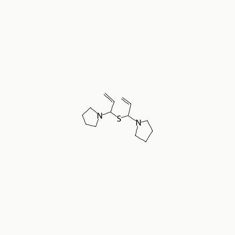 C=CC(SC(C=C)N1CCCC1)N1CCCC1